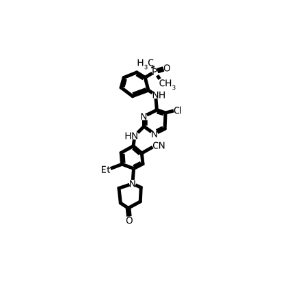 CCc1cc(Nc2ncc(Cl)c(Nc3ccccc3P(C)(C)=O)n2)c(C#N)cc1N1CCC(=O)CC1